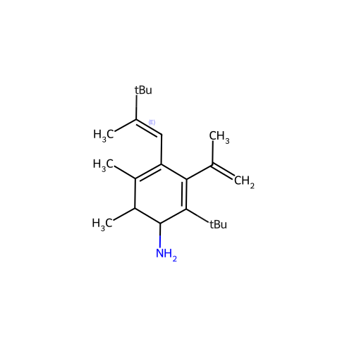 C=C(C)C1=C(C(C)(C)C)C(N)C(C)C(C)=C1/C=C(\C)C(C)(C)C